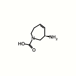 N[C@@H]1C=CCCN(C(=O)O)C1